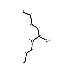 CCCCC(O)OCCC